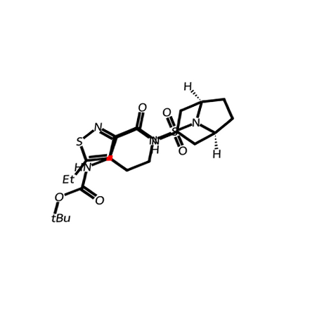 CCc1cc(C(=O)NC2C[C@H]3CC[C@@H](C2)N3S(=O)(=O)N2CCC(NC(=O)OC(C)(C)C)CC2)ns1